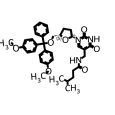 COc1ccc(C(OC[C@@H]2CC[C@H](n3cc(CNC(=O)CCC(C)C)c(=O)[nH]c3=O)O2)(c2ccccc2)c2ccc(OC)cc2)cc1